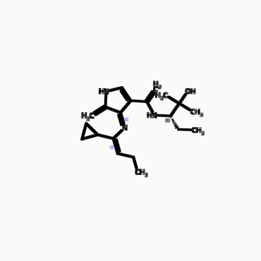 C=C(N[C@@H](CC)C(C)(C)O)C1=CNC(=C)/C1=N\C(=C/CC)C1CC1